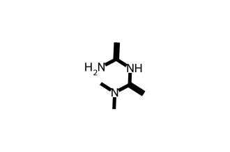 C=C(N)NC(=C)N(C)C